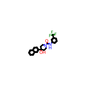 O=C(Nc1cccc(C(F)(F)F)c1)N1CCC(O)(c2ccc3ccccc3c2)CC1